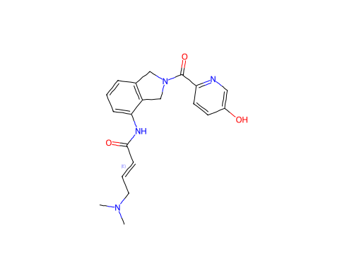 CN(C)C/C=C/C(=O)Nc1cccc2c1CN(C(=O)c1ccc(O)cn1)C2